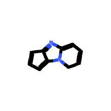 C1=CCn2c(nc3c2=CC=C3)=C1